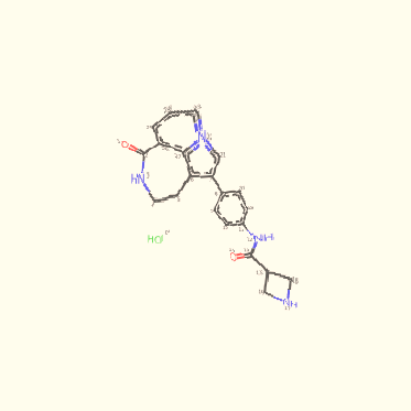 Cl.O=C1NCCc2c(-c3ccc(NC(=O)C4CNC4)cc3)cn3cccc1c23